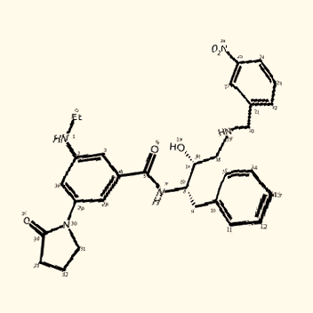 CCNc1cc(C(=O)N[C@@H](Cc2ccccc2)[C@H](O)CNCc2cccc([N+](=O)[O-])c2)cc(N2CCCC2=O)c1